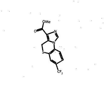 COC(=O)c1ncn2c1CSc1cc(C(F)(F)F)ccc1-2